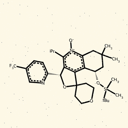 CC(C)c1c2c(c3c([n+]1[O-])CC(C)(C)C[C@@H]3O[Si](C)(C)C(C)(C)C)C1(CCOCC1)O[C@@H]2c1ccc(C(F)(F)F)cn1